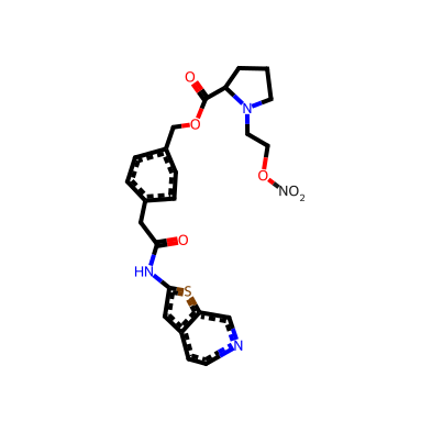 O=C(Cc1ccc(COC(=O)C2CCCN2CCO[N+](=O)[O-])cc1)Nc1cc2ccncc2s1